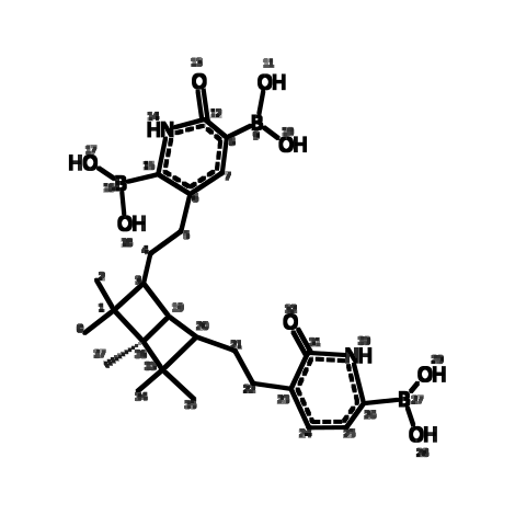 CC1(C)C(CCc2cc(B(O)O)c(=O)[nH]c2B(O)O)C2C(CCc3ccc(B(O)O)[nH]c3=O)C(C)(C)[C@]21C